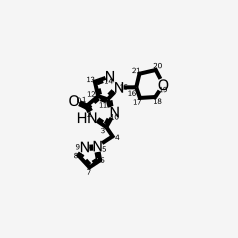 O=c1[nH]c(Cn2cccn2)nc2c1cnn2C1CCOCC1